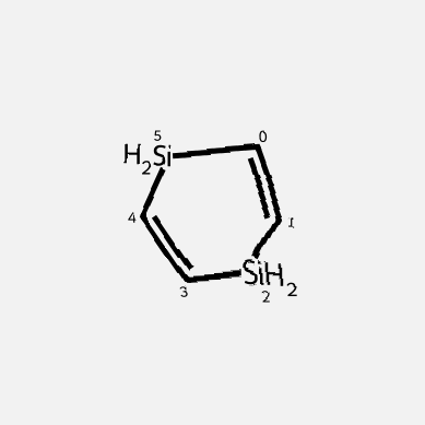 C1=C[SiH2]C=C[SiH2]1